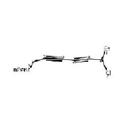 CCCCCCC#CC#CC(Cl)CC